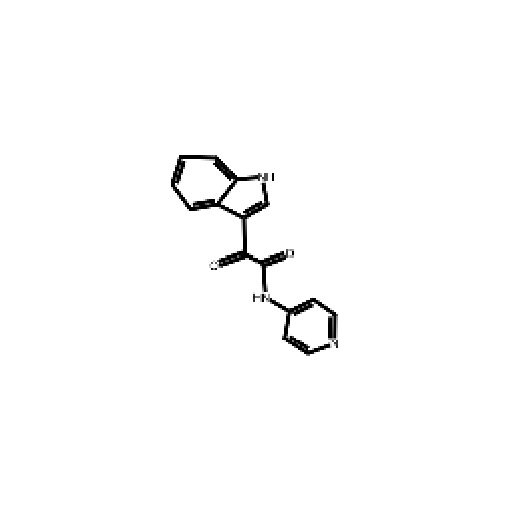 O=C(Nc1ccncc1)C(=O)c1c[nH]c2ccccc12